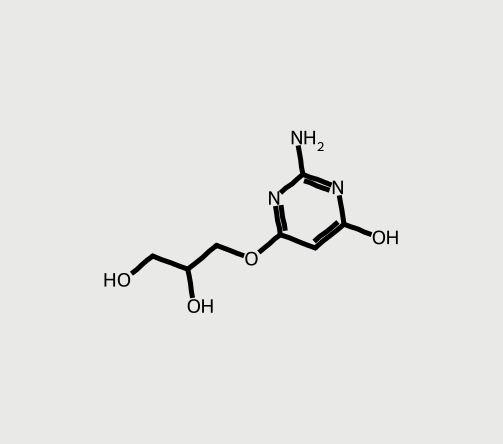 Nc1nc(O)cc(OCC(O)CO)n1